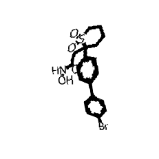 O=C(CC1(c2ccc(-c3ccc(Br)cc3)cc2)CCCCS1(=O)=O)NO